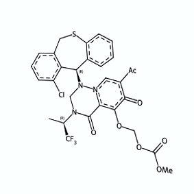 COC(=O)OCOc1c2n(cc(C(C)=O)c1=O)N([C@@H]1c3ccccc3SCc3cccc(Cl)c31)CN([C@H](C)C(F)(F)F)C2=O